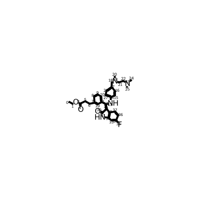 CCOC(=O)CCc1cccc(C(Nc2ccc(CN(C)CCN(C)C)cc2)=C2C(=O)Nc3cc(F)ccc32)c1